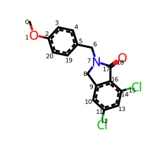 COc1ccc(CN2Cc3cc(Cl)cc(Cl)c3C2=O)cc1